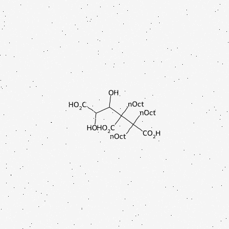 CCCCCCCCC(CCCCCCCC)(C(=O)O)C(CCCCCCCC)(C(=O)O)C(O)C(O)C(=O)O